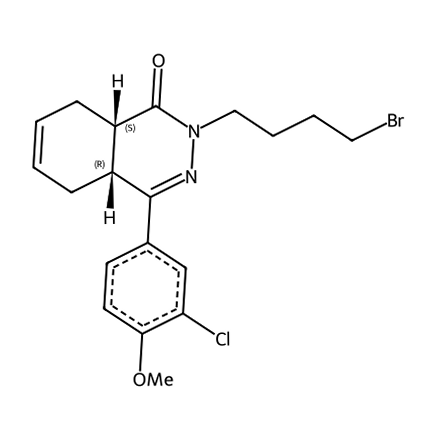 COc1ccc(C2=NN(CCCCBr)C(=O)[C@H]3CC=CC[C@@H]23)cc1Cl